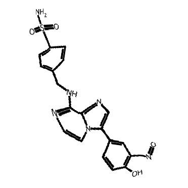 NS(=O)(=O)c1ccc(CNc2nccn3c(-c4ccc(O)c(N=O)c4)cnc23)cc1